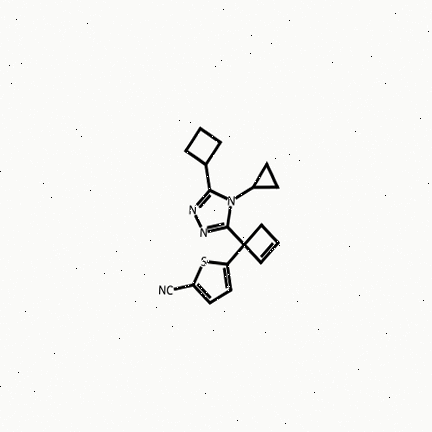 N#Cc1ccc(C2(c3nnc(C4CCC4)n3C3CC3)C=CC2)s1